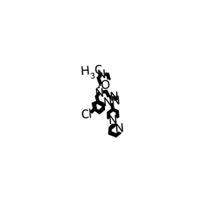 CN1CCO[C@H](CN2Cc3cc(Cl)ccc3-n3c(nnc3C3CCN(c4ccccn4)CC3)C2)C1